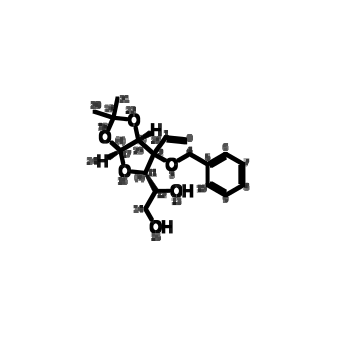 C=CC1(OCc2ccccc2)[C@@H](C(O)CO)O[C@@H]2OC(C)(C)O[C@@H]21